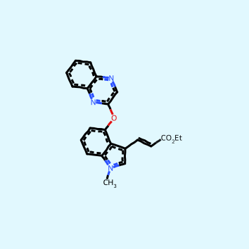 CCOC(=O)C=Cc1cn(C)c2cccc(Oc3cnc4ccccc4n3)c12